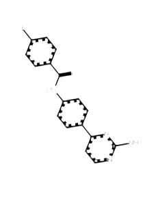 Nc1nccc(-c2ccc(NC(=O)c3ccc(Cl)cc3)cc2)n1